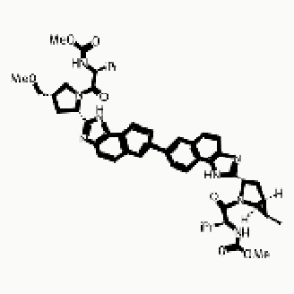 COC[C@H]1C[C@@H](c2nc3ccc4cc(-c5ccc6c(ccc7nc([C@@H]8C[C@H]9[C@@H](C)[C@H]9N8C(=O)[C@@H](NC(=O)OC)C(C)C)[nH]c76)c5)ccc4c3[nH]2)N(C(=O)[C@@H](NC(=O)OC)C(C)C)C1